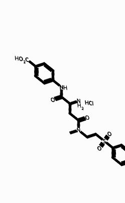 CN(CCS(=O)(=O)c1ccccc1)C(=O)CC(N)C(=O)Nc1ccc(C(=O)O)cc1.Cl